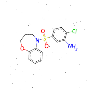 Nc1cc(S(=O)(=O)N2CCCOc3ccccc32)ccc1Cl